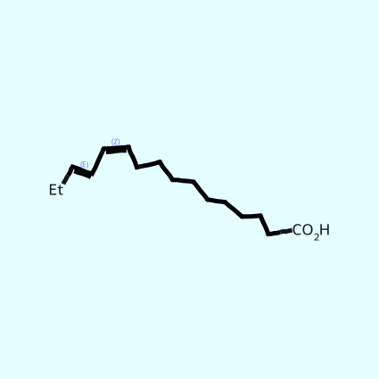 CC/C=C/C=C\CCCCCCCCCC(=O)O